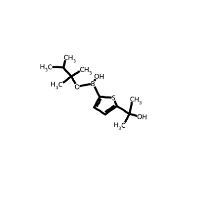 CC(C)C(C)(C)OB(O)c1ccc(C(C)(C)O)s1